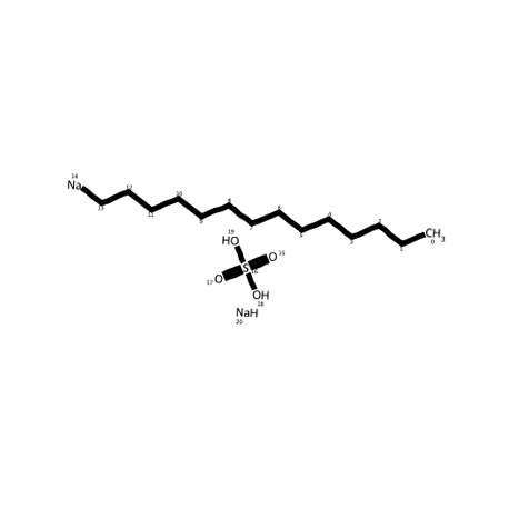 CCCCCCCCCCCCC[CH2][Na].O=S(=O)(O)O.[NaH]